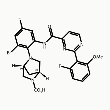 COc1cccc(F)c1-c1nccc(C(=O)Nc2cc(F)cc(Br)c2N2C[C@H]3C[C@@H]2CN3C(=O)O)n1